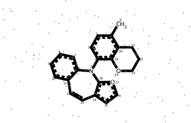 Cc1ccc(N2c3ccccc3C=Cc3ccoc32)c2c1CCCO2